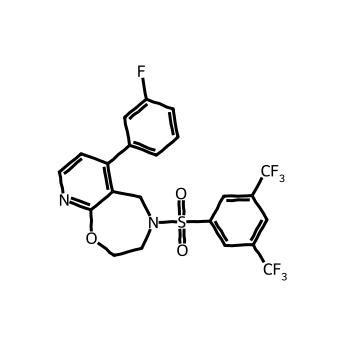 O=S(=O)(c1cc(C(F)(F)F)cc(C(F)(F)F)c1)N1CCOc2nccc(-c3cccc(F)c3)c2C1